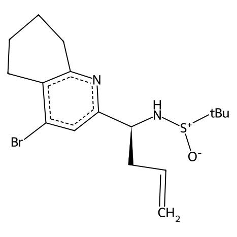 C=CC[C@H](N[S+]([O-])C(C)(C)C)c1cc(Br)c2c(n1)CCCC2